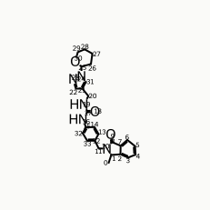 CC1c2ccccc2C(=O)N1Cc1ccc(NC(=O)NCc2cnn(C3CCCCO3)c2)cc1